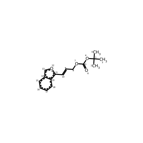 CC(C)(C)OC(=O)OCC=Cc1occ2ccccc12